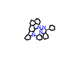 c1ccc(-c2nc(-n3c4cccc5ccc6cc7c8ccccc8n(-c8ccccc8)c7c3c6c54)nc3ccccc23)cc1